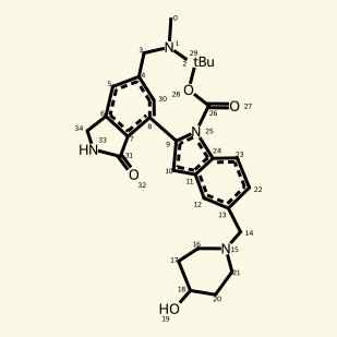 CN(C)Cc1cc2c(c(-c3cc4cc(CN5CCC(O)CC5)ccc4n3C(=O)OC(C)(C)C)c1)C(=O)NC2